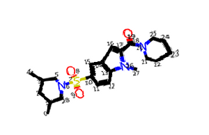 CC1CC(C)CN(S(=O)(=O)c2ccc3c(c2)cc(C(=O)N2CCCCC2)n3C)C1